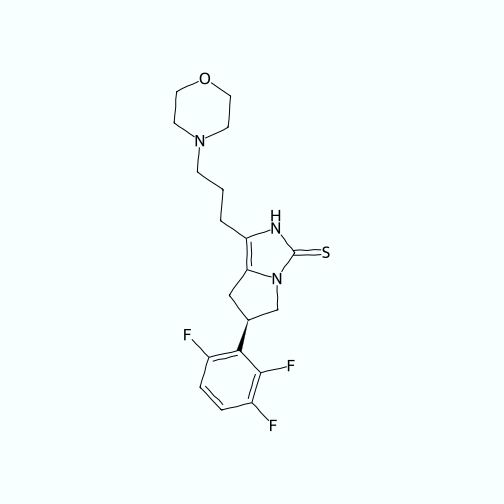 Fc1ccc(F)c([C@H]2Cc3c(CCCN4CCOCC4)[nH]c(=S)n3C2)c1F